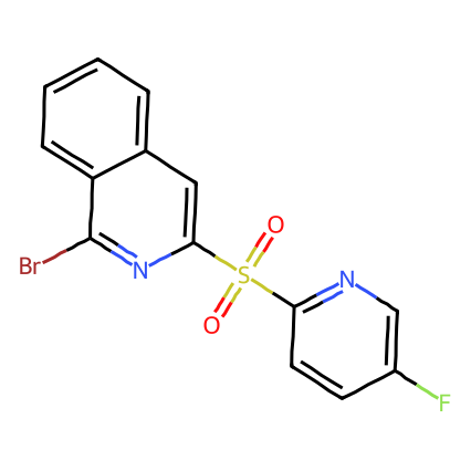 O=S(=O)(c1ccc(F)cn1)c1cc2ccccc2c(Br)n1